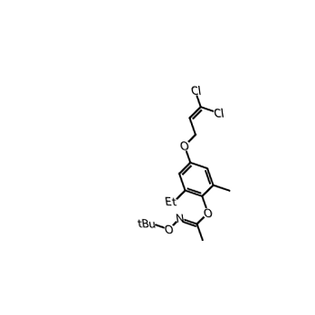 CCc1cc(OCC=C(Cl)Cl)cc(C)c1OC(C)=NOC(C)(C)C